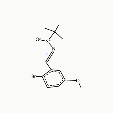 COc1ccc(Br)c(/C=N/[S+]([O-])C(C)(C)C)c1